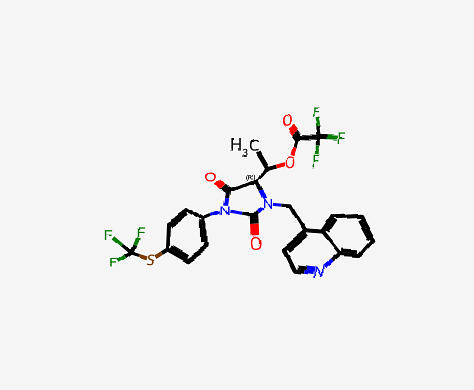 CC(OC(=O)C(F)(F)F)[C@@H]1C(=O)N(c2ccc(SC(F)(F)F)cc2)C(=O)N1Cc1ccnc2ccccc12